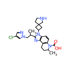 CC(Cn1cc(Cl)cn1)c1nc2c3c(ccc2n1C1CC2(CCNC2)C1)N(C(=O)O)C(C)CC3